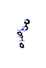 O=C(Nc1ccccc1)c1cc2cc(Nc3nccc(-c4cccnc4)n3)ccc2[nH]1